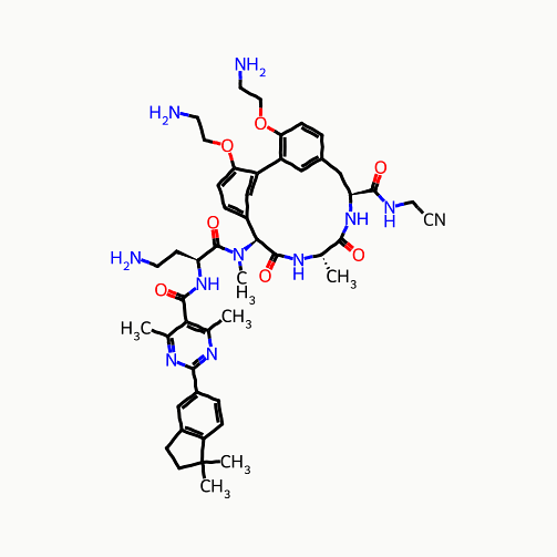 Cc1nc(-c2ccc3c(c2)CCC3(C)C)nc(C)c1C(=O)N[C@@H](CCN)C(=O)N(C)[C@@H]1C(=O)N[C@@H](C)C(=O)N[C@H](C(=O)NCC#N)Cc2ccc(OCCN)c(c2)-c2cc1ccc2OCCN